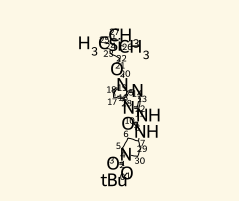 CC(C)(C)OC(=O)N1CCC(NC(=O)Nc2cnc3c(ccn3COCC[Si](C)(C)C)n2)CC1